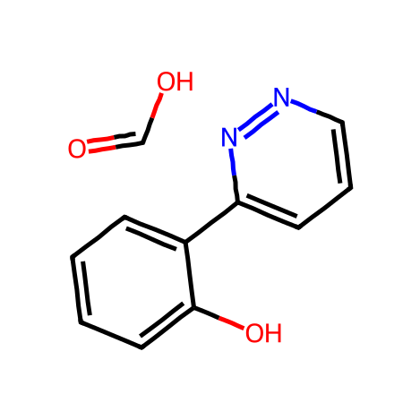 O=CO.Oc1ccccc1-c1cccnn1